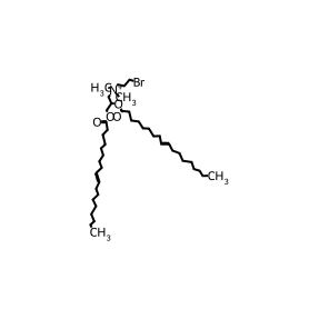 CCCCCCCCC=CCCCCCCCC(=O)OCC(C[N+](C)(C)CCCBr)OC(=O)CCCCCCCC=CCCCCCCCC